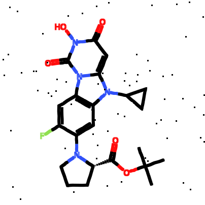 CC(C)(C)OC(=O)[C@@H]1CCCN1c1cc2c(cc1F)n1c(=O)n(O)c(=O)cc1n2C1CC1